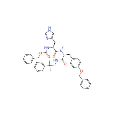 CN(C(=O)[C@H](Cc1c[nH]cn1)NC(=O)OCc1ccccc1)[C@@H](Cc1ccc(OCc2ccccc2)cc1)C(=O)NCC(C)(C)c1ccccc1